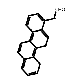 O=C[CH]c1cccc2c1=CCc1c3c(ccc1=2)=CC=CC3